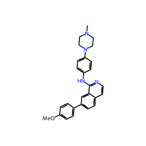 COc1ccc(-c2ccc3ccnc(Nc4ccc(N5CCN(C)CC5)cc4)c3c2)cc1